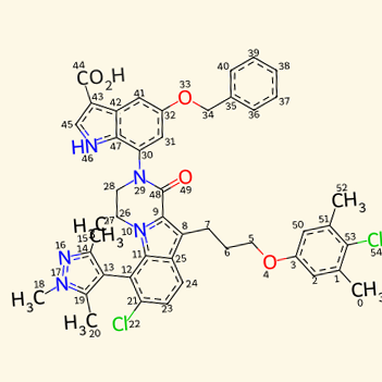 Cc1cc(OCCCc2c3n(c4c(-c5c(C)nn(C)c5C)c(Cl)ccc24)[C@H](C)CN(c2cc(OCc4ccccc4)cc4c(C(=O)O)c[nH]c24)C3=O)cc(C)c1Cl